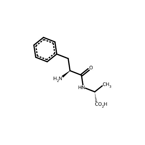 C[C@@H](NC(=O)[C@@H](N)Cc1ccccc1)C(=O)O